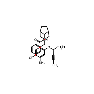 CC#CC(C)Oc1cc(N)c(Cl)cc1C(=O)NC1C2CCC1CN(Cc1ccccc1)C2.Cl